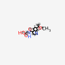 CCOC1(c2ccc3c(C(=O)NCC(=O)O)ccnc3c2)CC1